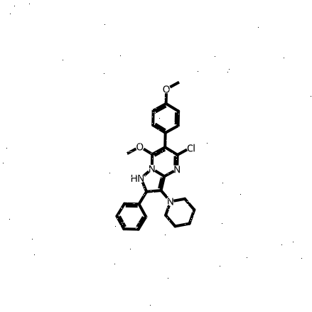 COC1=C(c2ccc(OC)cc2)C(Cl)=NC2=C(N3CCCCC3)C(c3ccccc3)NN21